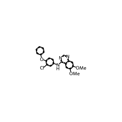 COc1cc2ncnc(Nc3ccc(Oc4ccccc4)c(Cl)c3)c2cc1OC